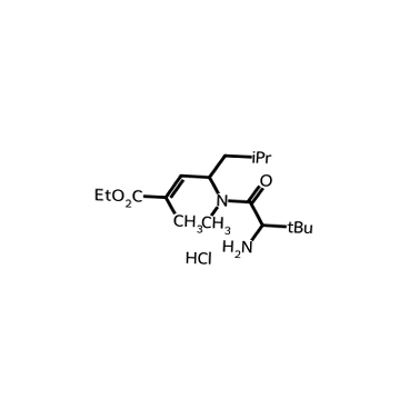 CCOC(=O)C(C)=CC(CC(C)C)N(C)C(=O)C(N)C(C)(C)C.Cl